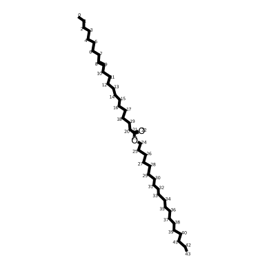 CCCCCCCCC=CCCCCCCCCCCCC(=O)OCCCCCCCCCCCCCCCCCCCC